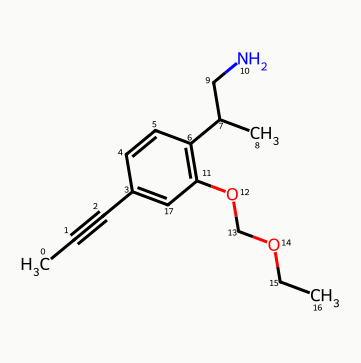 CC#Cc1ccc(C(C)CN)c(OCOCC)c1